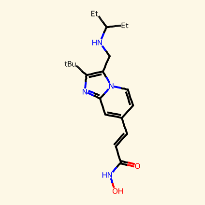 CCC(CC)NCc1c(C(C)(C)C)nc2cc(C=CC(=O)NO)ccn12